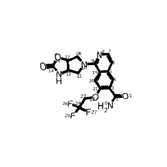 NC(=O)c1cc2ccnc(N3CC4NC(=O)OC4C3)c2cc1OCC(F)(F)F